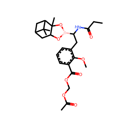 CCC(=O)NC(Cc1cccc(C(=O)OCOC(C)=O)c1OC)B1OC2CC3CC(C3(C)C)C2(C)O1